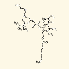 C=C/C=C\C=C/CC(OC(=O)C1=C[C@H](NC(=N)N)[C@@H](NC(C)=O)[C@H]([C@H](CCOC(=O)CCCCCCC)OC)O1)OC(=O)[C@@H](N)C(C)C